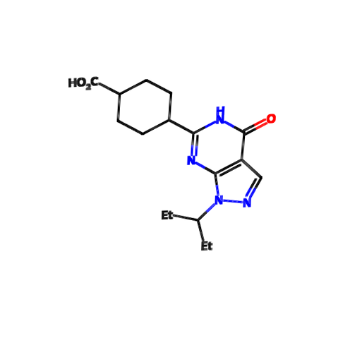 CCC(CC)n1ncc2c(=O)[nH]c(C3CCC(C(=O)O)CC3)nc21